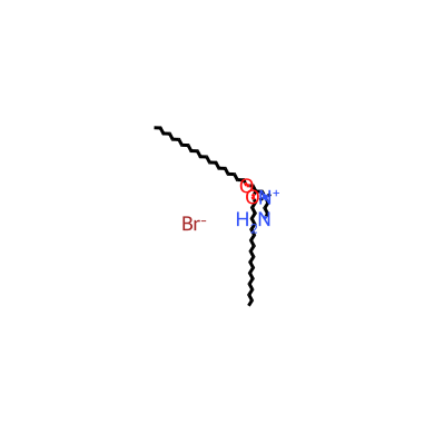 CCCCCCCCCCCCCCCCCCCCOCC(C[N+](C)(C)CCCN)OCCCCCCCCCCCCCCCCCCCC.[Br-]